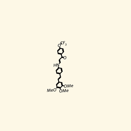 COc1cc(C=Cc2ccc(NC=CC(=O)c3ccc(OC(F)(F)F)cc3)cc2)cc(OC)c1OC